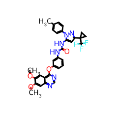 COc1cc2ncnc(Oc3cccc(NC(=O)Nc4cc(C5(C(F)(F)F)CC5)nn4-c4ccc(C)cc4)c3)c2cc1OC